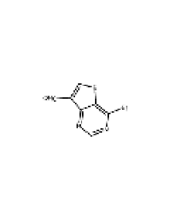 CCc1ncnc2c(C=O)csc12